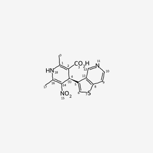 CC1=C(C(=O)O)[C@@H](c2csc3ccncc23)C([N+](=O)[O-])=C(C)N1